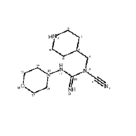 N#CN(CC1CCNCC1)C(=N)NN1CCOCC1